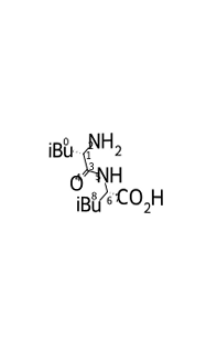 CCC(C)[C@H](N)C(=O)N[C@H](C(=O)O)C(C)CC